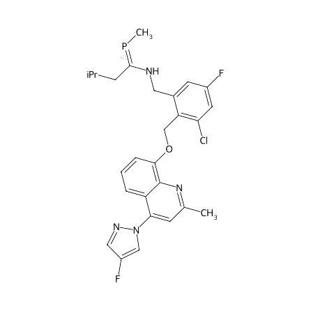 C/P=C(/CC(C)C)NCc1cc(F)cc(Cl)c1COc1cccc2c(-n3cc(F)cn3)cc(C)nc12